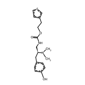 CN(C)[C@H](CNC(=O)OCCc1ccsc1)Cc1ccc(O)cc1